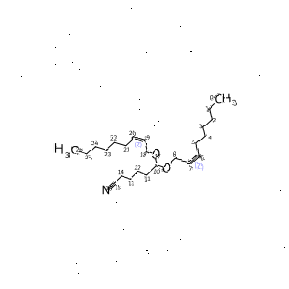 CCCCCC/C=C\COC(CCCCC#N)OC/C=C\CCCCCC